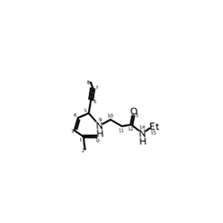 C=C(C)/C=C\C(C#CC)NCCC(=O)NCC